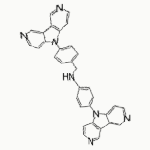 c1cc2c(cn1)c1cnccc1n2-c1ccc(CNc2ccc(-n3c4ccncc4c4cnccc43)cc2)cc1